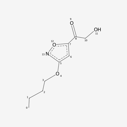 CCCCOc1cc(C(=O)CO)on1